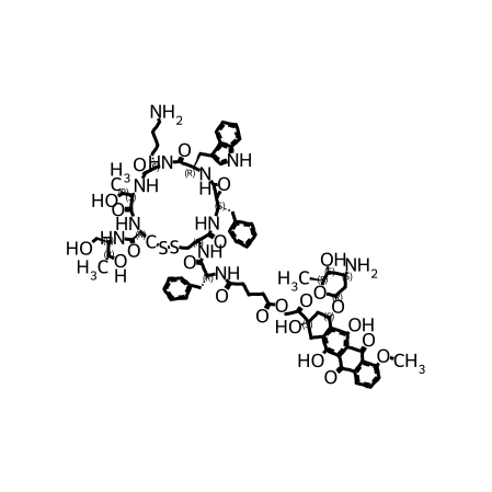 COc1cccc2c1C(=O)c1c(O)c3c(c(O)c1C2=O)C[C@@](O)(C(=O)COC(=O)CCCC(=O)N[C@H](Cc1ccccc1)C(=O)N[C@H]1CSSC[C@@H](C(=O)N[C@H](CO)[C@@H](C)O)NC(=O)[C@H]([C@@H](C)O)NC(=O)[C@H](CCCCN)NC(=O)[C@@H](Cc2c[nH]c4ccccc24)NC2OC2[C@H](Cc2ccccc2)NC1=O)C[C@@H]3O[C@H]1C[C@H](N)[C@H](O)[C@H](C)O1